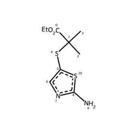 CCOC(=O)C(C)(C)Sc1cnc(N)s1